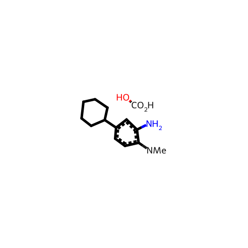 CNc1ccc(C2CCCCC2)cc1N.O=C(O)O